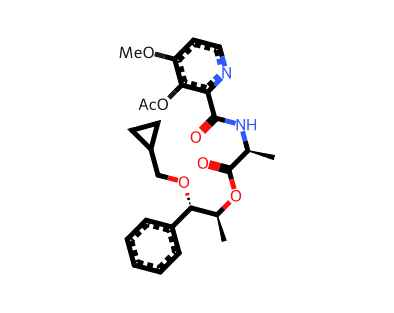 COc1ccnc(C(=O)N[C@@H](C)C(=O)O[C@@H](C)[C@@H](OCC2CC2)c2ccccc2)c1OC(C)=O